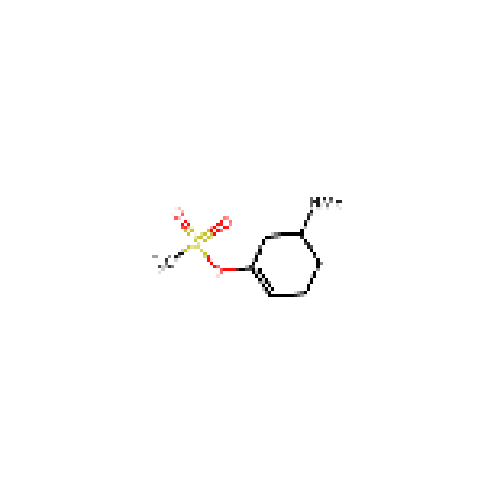 CNC1CCC=C(OS(=O)(=O)C(F)(F)F)C1